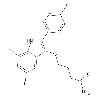 NC(=O)CCCSc1c(-c2ccc(F)cc2)[nH]c2c(F)cc(F)cc12